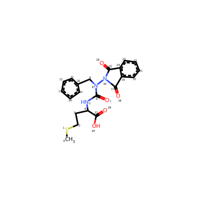 CSCCC(NC(=O)N(Cc1ccccc1)N1C(=O)c2ccccc2C1=O)C(=O)O